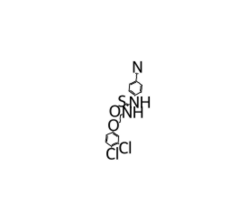 N#Cc1ccc(NC(=S)NC(=O)COc2ccc(Cl)c(Cl)c2)cc1